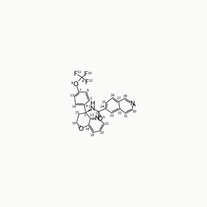 O=C(N[C@]1(c2ccc(OC(F)(F)F)cc2)CCOc2cccnc21)c1ccc2cnccc2c1